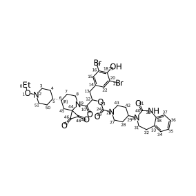 CCON1CCC([C@@H]2CCN(C(=O)C(Cc3cc(Br)c(O)c(Br)c3)OC(=O)N3CCC(N4CCc5ccccc5NC4=O)CC3)C3(C2)C(=O)C3=O)CC1